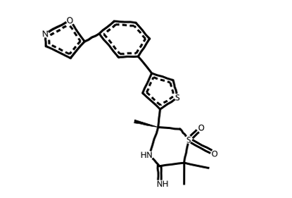 CC1(C)C(=N)N[C@](C)(c2cc(-c3cccc(-c4ccno4)c3)cs2)CS1(=O)=O